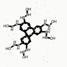 OBBc1cc2c3cc(BBO)c(BBO)cc3c3cc(BBO)c(BBO)cc3c2cc1BBO